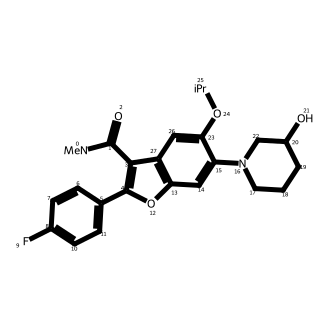 CNC(=O)c1c(-c2ccc(F)cc2)oc2cc(N3CCCC(O)C3)c(OC(C)C)cc12